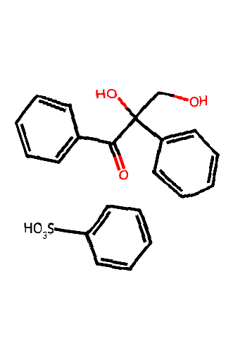 O=C(c1ccccc1)C(O)(CO)c1ccccc1.O=S(=O)(O)c1ccccc1